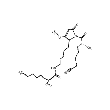 C#CCCCC[C@@H](C)C(=O)N1C(=O)C=C(OC)[C@@H]1CCCCCNC(=O)[C@@H](C)CCCCC